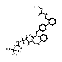 CNC(=O)NCc1ccccc1-c1ccc(CN2C(=O)[C@H](NC(=O)C(C)(C)NC(=O)OC(C)(C)C)CSc3ccccc32)cc1